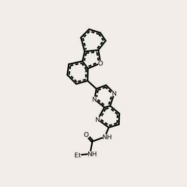 CCNC(=O)Nc1ccc2ncc(-c3cccc4c3oc3ccccc34)nc2n1